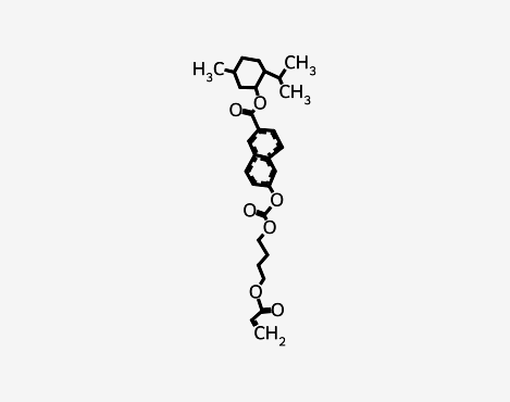 C=CC(=O)OCCCCOC(=O)Oc1ccc2cc(C(=O)OC3CC(C)CCC3C(C)C)ccc2c1